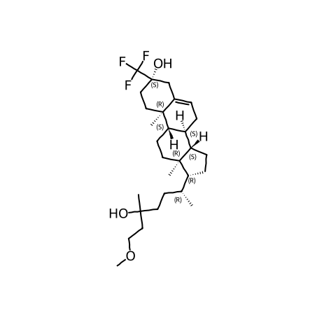 COCCC(C)(O)CC[C@@H](C)[C@H]1CC[C@H]2[C@@H]3CC=C4C[C@](O)(C(F)(F)F)CC[C@]4(C)[C@H]3CC[C@]12C